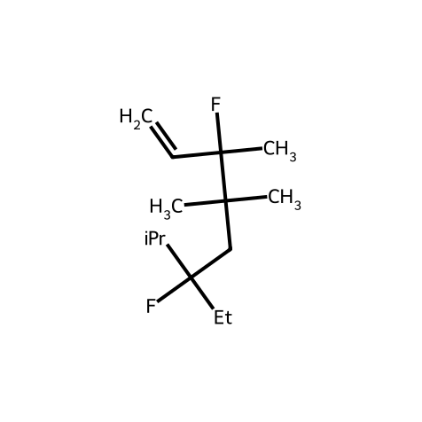 C=CC(C)(F)C(C)(C)CC(F)(CC)C(C)C